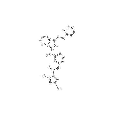 Cc1cc(C(=O)Nc2cccc(C(=O)c3nn(C=Cc4ccccn4)c4ccccc34)c2)n(C)n1